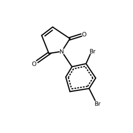 O=C1C=CC(=O)N1c1ccc(Br)cc1Br